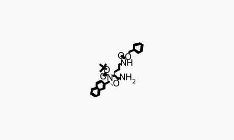 C[C@H](c1ccc2ccccc2c1)N(C(=O)OC(C)(C)C)[C@H](CCCNC(=O)OCc1ccccc1)C(N)=O